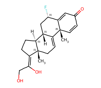 C[C@]12C=CC(=O)C=C1[C@@H](F)C[C@@H]1C2=CC[C@]2(C)C(=C(O)CO)CC[C@@H]12